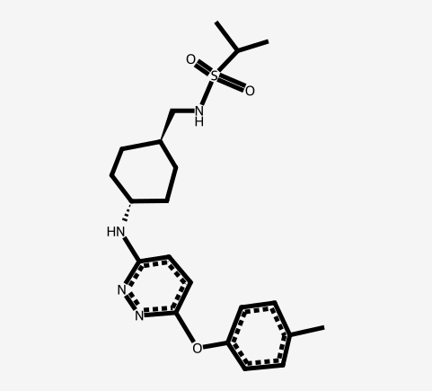 Cc1ccc(Oc2ccc(N[C@H]3CC[C@H](CNS(=O)(=O)C(C)C)CC3)nn2)cc1